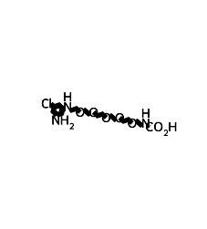 Nc1cc(Cl)cc(NCCOCCOCCOCCOCCOCCNC(=O)O)c1